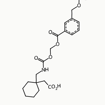 O=C(O)CC1(CNC(=O)OCOC(=O)c2cccc(CO[N+](=O)[O-])c2)CCCCC1